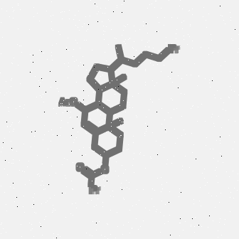 CC(=O)OC1C=C2CC(OC(=O)C(C)C)CCC2(C)C2CCC3(C)C(C(C)CCCC(C)C)CCC3C12